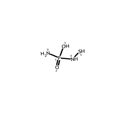 NP(=O)(O)NS